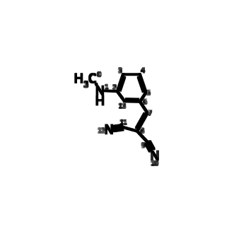 CNc1cccc(C=C(C#N)C#N)c1